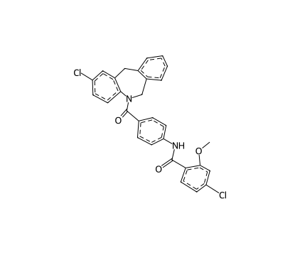 COc1cc(Cl)ccc1C(=O)Nc1ccc(C(=O)N2Cc3ccccc3Cc3cc(Cl)ccc32)cc1